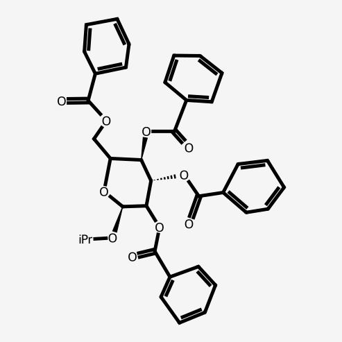 CC(C)O[C@H]1OC(COC(=O)c2ccccc2)[C@@H](OC(=O)c2ccccc2)[C@H](OC(=O)c2ccccc2)C1OC(=O)c1ccccc1